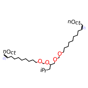 CCCCCCCC/C=C\CCCCCCCCOCOCC(CC(C)C)OCOCCCCCCCC/C=C\CCCCCCCC